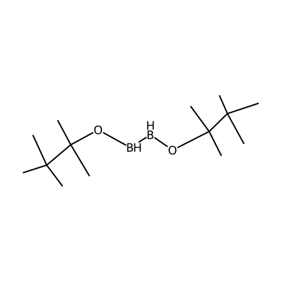 CC(C)(C)C(C)(C)OBBOC(C)(C)C(C)(C)C